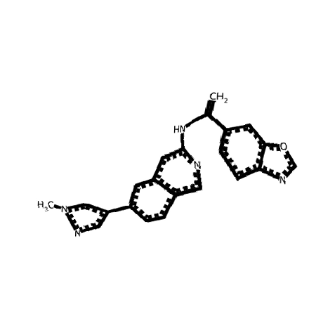 C=C(Nc1cc2cc(-c3cnn(C)c3)ccc2cn1)c1ccc2ncoc2c1